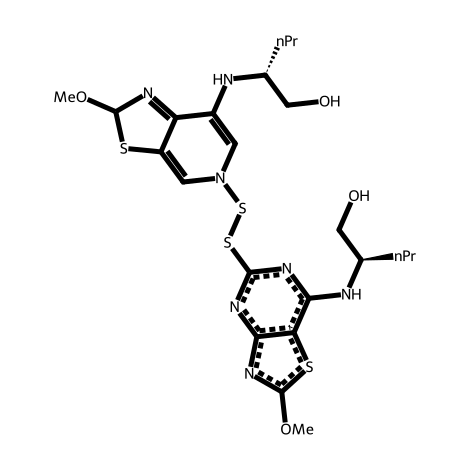 CCC[C@H](CO)NC1=CN(SSc2nc(N[C@@H](CO)CCC)c3sc(OC)nc3n2)C=C2SC(OC)N=C12